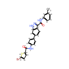 O=C(Nc1ccc(-c2ccc3c(C(=O)Nc4cccc(C(F)(F)F)c4)n[nH]c3c2)cc1)c1ccc(Br)s1